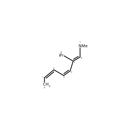 C\C=C/C=C\C(=C\NC)C(C)C